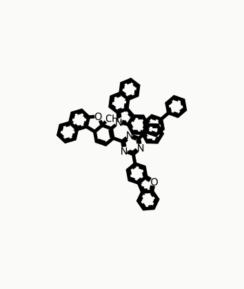 CC12Oc3ccc4ccccc4c3C1C=CC(c1nc(-c3ccc(-c4ccccc4)cc3)nc(-c3ccc4c(c3)oc3ccccc34)n1)=C2n1c2cc3ccccc3cc2c2c3ccccc3ccc21